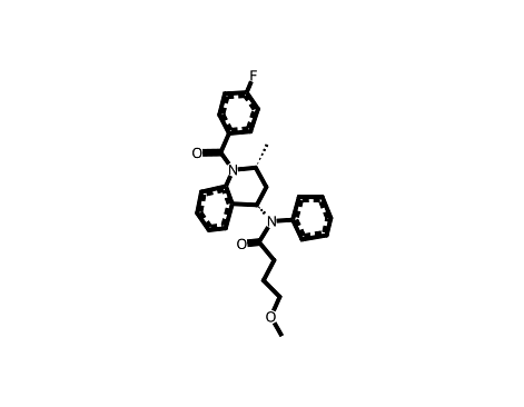 COCCCC(=O)N(c1ccccc1)[C@H]1C[C@@H](C)N(C(=O)c2ccc(F)cc2)c2ccccc21